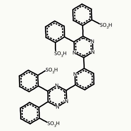 O=S(=O)(O)c1ccccc1-c1nnc(-c2cccc(-c3nnc(-c4ccccc4S(=O)(=O)O)c(-c4ccccc4S(=O)(=O)O)n3)n2)nc1-c1ccccc1S(=O)(=O)O